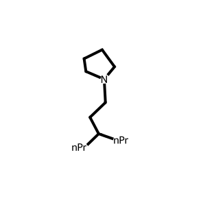 CCC[C](CCC)CCN1CCCC1